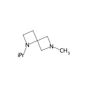 CC(C)N1CCC12CN(C)C2